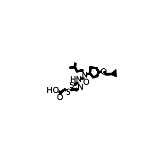 CC(C)CCN(C(=O)Nc1ncc(SCC(=O)O)s1)C1CCC(OCC2CC2)CC1